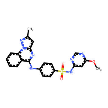 COc1cc(NS(=O)(=O)c2ccc(Nc3nc4cc(C)nn4c4ccccc34)cc2)ncn1